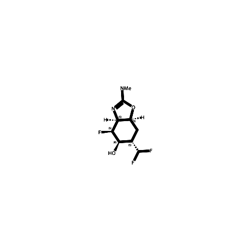 CNC1=N[C@@H]2[C@H](F)[C@H](O)[C@@H](C(F)F)C[C@@H]2O1